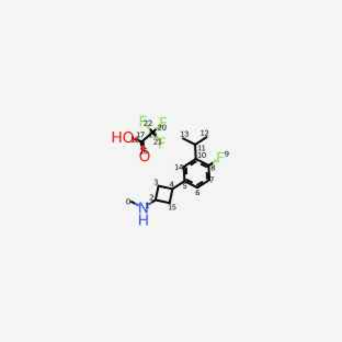 CNC1CC(c2ccc(F)c(C(C)C)c2)C1.O=C(O)C(F)(F)F